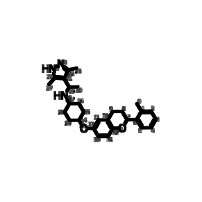 Cc1ccccc1C1CCc2cc(OC3CCC(NC(C)c4c(C)n[nH]c4C)CC3)ccc2O1